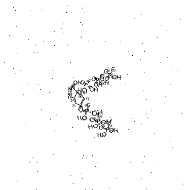 O=P(O)(O)F.O=P(O)(O)F.O=P(O)(O)F.O=P(O)(O)F.O=P(O)(O)F.O=P(O)(O)F.On1nnc2ccccc21